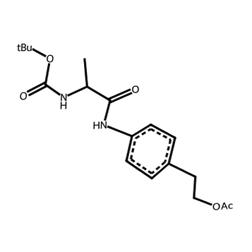 CC(=O)OCCc1ccc(NC(=O)C(C)NC(=O)OC(C)(C)C)cc1